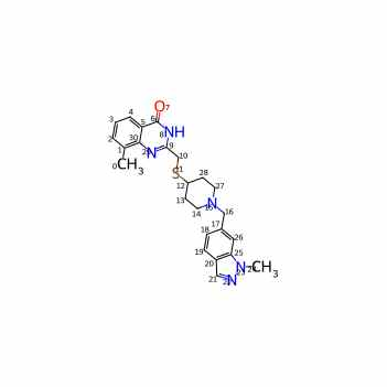 Cc1cccc2c(=O)[nH]c(CSC3CCN(Cc4ccc5cnn(C)c5c4)CC3)nc12